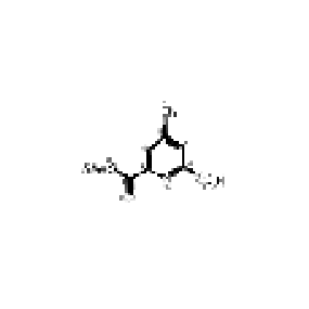 COC(=O)c1cc(O)cc(C(=O)O)n1